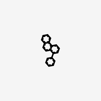 [c]1ccc2c(c1)ccc1c(-c3ccccc3)cccc12